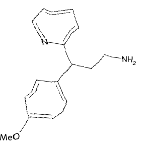 COc1ccc(C(CCN)c2ccccn2)cc1